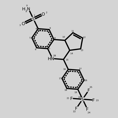 NS(=O)(=O)c1ccc2c(c1)C1C=CCC1C(c1ccc(S(F)(F)(F)(F)F)cc1)N2